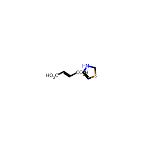 C1=CSCN1.O=C(O)C=CC(=O)O